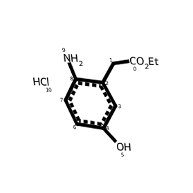 CCOC(=O)Cc1cc(O)ccc1N.Cl